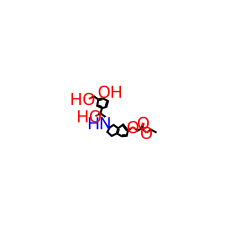 CCOC(=O)COc1ccc2c(c1)C[C@@H](NCC(O)c1ccc(O)c(CO)c1)CC2